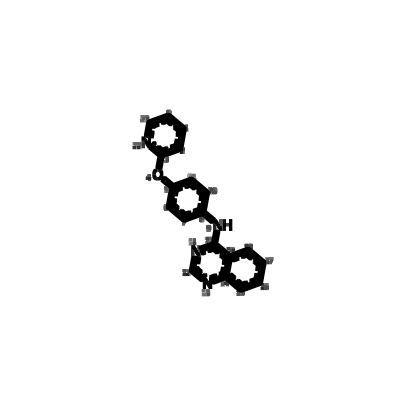 c1ccc(Oc2ccc(Nc3ncnc4ccccc34)cc2)nc1